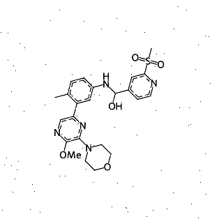 COc1ncc(-c2cc(NC(O)c3ccnc(S(C)(=O)=O)c3)ccc2C)nc1N1CCOCC1